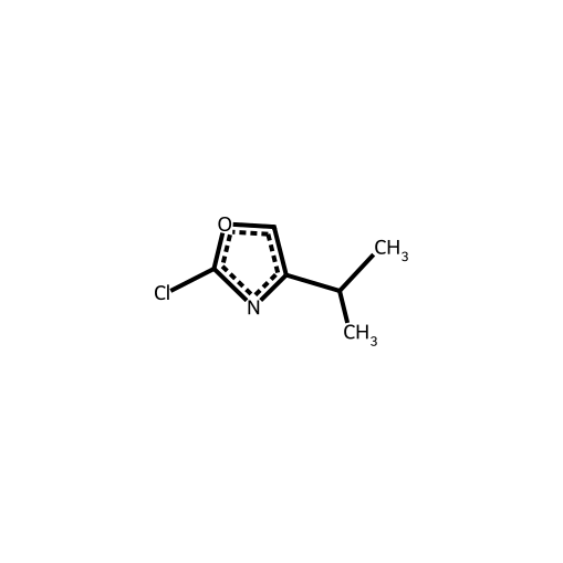 CC(C)c1coc(Cl)n1